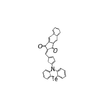 O=C1C(=CC2=CC=C(N3c4ccccc4[Te]c4ccccc43)C2)C(=O)c2cc3ccccc3cc21